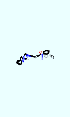 O=CC1=C(NC(=O)CCCCN2CCN(c3ccc4ccccc4n3)CC2)CCCC1